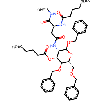 CCCCCCCCCCCCCC(=O)N[C@@H](CC(=O)N[C@@H]1[C@@H](OCc2ccccc2)O[C@H](COCc2ccccc2)[C@@H](OCc2ccccc2)[C@@H]1OC(=O)CCCCCCCCCCCCC)C(=O)NCCCCCCCCC